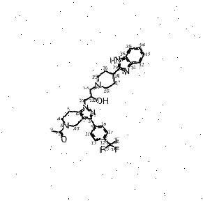 CC(=O)N1CCc2c(c(-c3ccc(C(F)(F)F)cc3)nn2CC(O)CN2CCC(c3nc4ccccc4[nH]3)CC2)C1